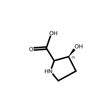 O=C(O)C1NCC[C@@H]1O